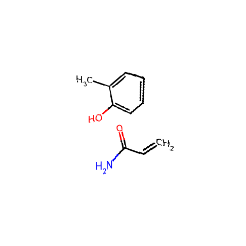 C=CC(N)=O.Cc1ccccc1O